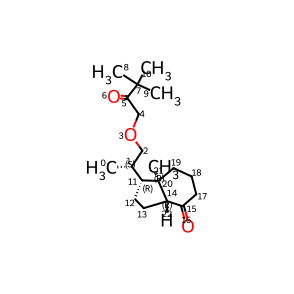 C[C@H](COCC(=O)C(C)(C)C)[C@H]1CC[C@H]2C(=O)CCC[C@]12C